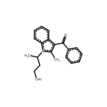 CC(=O)OCCC(C)n1c(C)c(C(=O)c2ccccc2)c2ccccc21